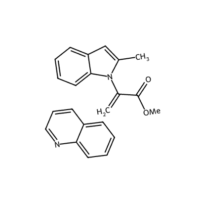 C=C(C(=O)OC)n1c(C)cc2ccccc21.c1ccc2ncccc2c1